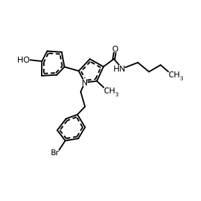 CCCCNC(=O)c1cc(-c2ccc(O)cc2)n(CCc2ccc(Br)cc2)c1C